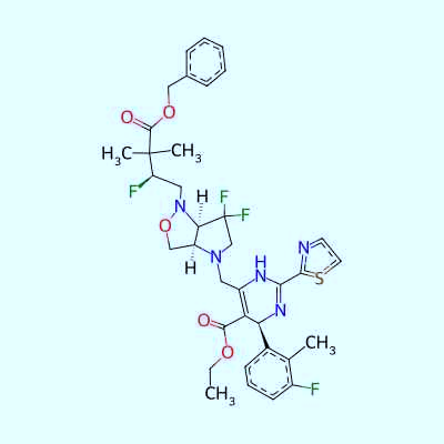 CCOC(=O)C1=C(CN2CC(F)(F)[C@H]3[C@@H]2CON3C[C@@H](F)C(C)(C)C(=O)OCc2ccccc2)NC(c2nccs2)=N[C@H]1c1cccc(F)c1C